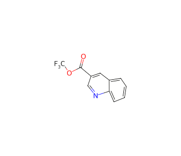 O=C(OC(F)(F)F)c1cnc2ccccc2c1